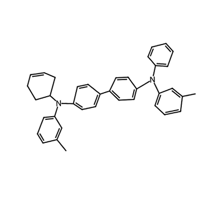 Cc1cccc(N(c2ccccc2)c2ccc(-c3ccc(N(c4cccc(C)c4)C4CC=CCC4)cc3)cc2)c1